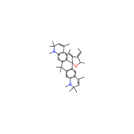 C/C=C1\C(=C/C)C2(OC1C)c1cc3c(cc1C(C)(C)c1cc4c(cc12)C(C)=CC(C)(C)N4C)N(C)C(C)(C)C=C3C